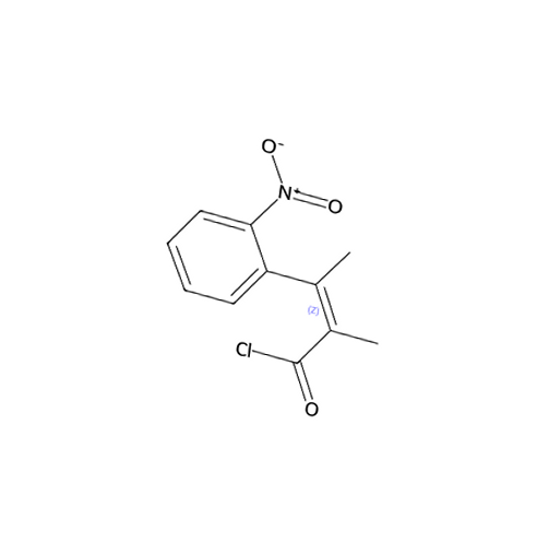 C/C(C(=O)Cl)=C(\C)c1ccccc1[N+](=O)[O-]